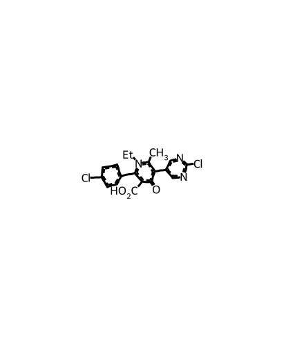 CCn1c(C)c(-c2cnc(Cl)nc2)c(=O)c(C(=O)O)c1-c1ccc(Cl)cc1